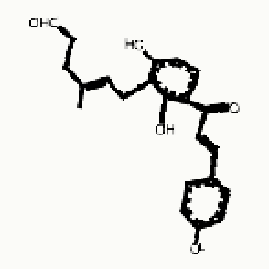 C/C(=C\Cc1c(O)ccc(C(=O)/C=C/c2ccc(O)cc2)c1O)CCC=O